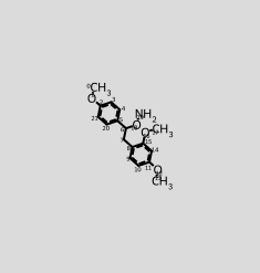 COc1ccc(C(Cc2ccc(OC)cc2OC)ON)cc1